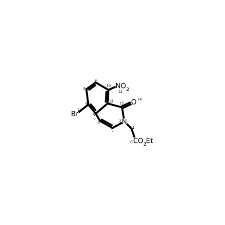 CCOC(=O)Cn1ccc2c(Br)ccc([N+](=O)[O-])c2c1=O